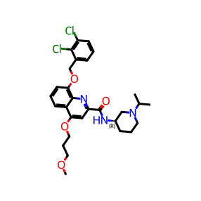 COCCCOc1cc(C(=O)N[C@@H]2CCCN(C(C)C)C2)nc2c(OCc3cccc(Cl)c3Cl)cccc12